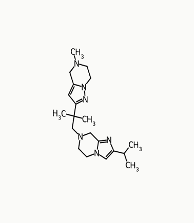 CC(C)c1cn2c(n1)CN(CC(C)(C)c1cc3n(n1)CCN(C)C3)CC2